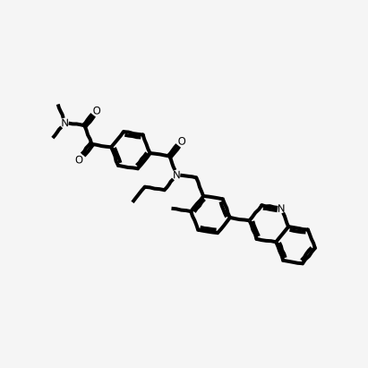 CCCN(Cc1cc(-c2cnc3ccccc3c2)ccc1C)C(=O)c1ccc(C(=O)C(=O)N(C)C)cc1